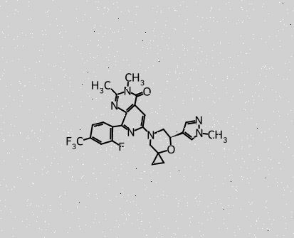 Cc1nc2c(-c3ccc(C(F)(F)F)cc3F)nc(N3C[C@@H](c4cnn(C)c4)OC4(CC4)C3)cc2c(=O)n1C